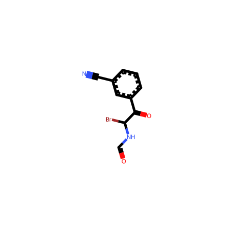 N#Cc1cccc(C(=O)C(Br)NC=O)c1